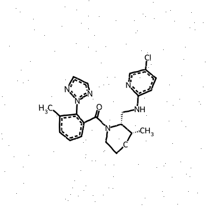 Cc1cccc(C(=O)N2CCC[C@@H](C)[C@H]2CNc2ccc(Cl)cn2)c1-n1nccn1